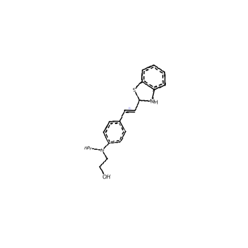 CCCN(CCO)c1ccc(/C=C/C2Nc3ccccc3S2)cc1